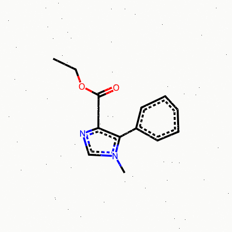 CCOC(=O)c1ncn(C)c1-c1ccccc1